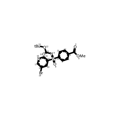 COC(=O)c1ccc(S(=O)(=NC(=O)OC(C)(C)C)c2cncc(Br)c2)cc1